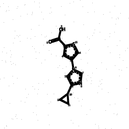 O=C(O)c1cc(-n2cnc(C3CC3)c2)cs1